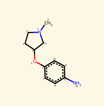 CN1CCC(Oc2ccc(N)cc2)C1